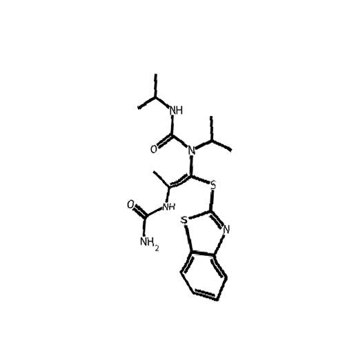 CC(NC(N)=O)=C(Sc1nc2ccccc2s1)N(C(=O)NC(C)C)C(C)C